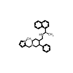 C[C@@H](NCC1CCN(Cc2cccn2C)CC1c1ccccc1)c1cccc2ccccc12